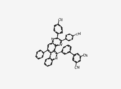 N#Cc1ccc(-c2nc3cc(-c4ccccc4)c4c5ccccc5nc(-c5cccc(-c6cc(C#N)cc(C#N)c6)c5)c4c3nc2-c2ccc(C#N)cc2)cc1